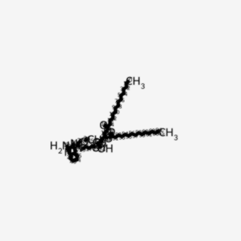 CCCCCCCCCCCCCCCC(=O)OCC(COP(=O)(O)OCCCCn1c(COCC)nc2c(N)nc3ccccc3c21)OC(=O)CCCCCCCCCCCCCCC